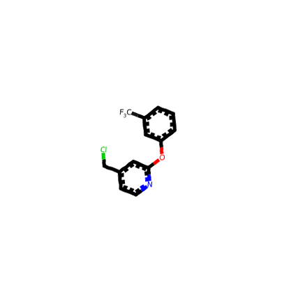 FC(F)(F)c1cccc(Oc2cc(CCl)ccn2)c1